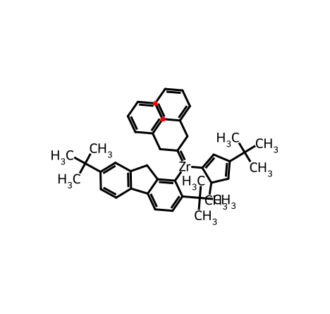 CC1C=C(C(C)(C)C)C=[C]1[Zr](=[C](Cc1ccccc1)Cc1ccccc1)[c]1c(C(C)(C)C)ccc2c1Cc1cc(C(C)(C)C)ccc1-2